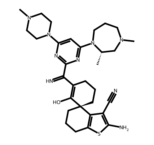 C[C@H]1CN(C)CCCN1c1cc(N2CCN(C)CC2)nc(C(=N)C2=C(O)[C@@]3(CCC2)CCCc2sc(N)c(C#N)c23)n1